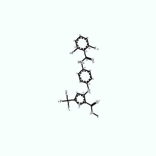 COC(=O)c1sc(C(F)(F)F)cc1Oc1ccc(NC(=O)c2c(F)cccc2F)cc1